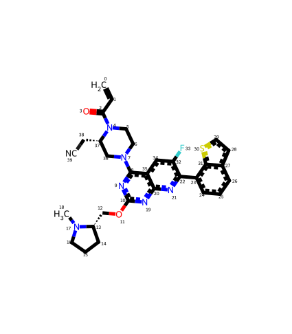 C=CC(=O)N1CCN(c2nc(OC[C@@H]3CCCN3C)nc3nc(-c4cccc5ccsc45)c(F)cc23)C[C@@H]1CC#N